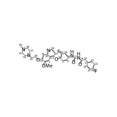 COc1cc2c(Oc3ccc(NC(=O)NC(=O)Cc4ccc(F)cc4)cc3F)ccnc2cc1OCCN1CCN(C)CC1